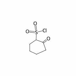 O=C1CCCCC1S(=O)(=O)Cl